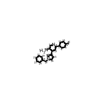 Nc1cnc(-c2ccc(F)cc2)cc1-c1ccn(Cc2ccccc2)n1